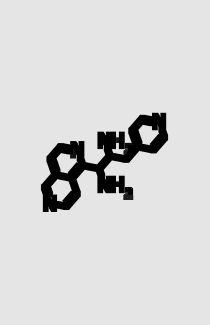 NC(Cc1ccncc1)C(N)c1nccc2cnccc12